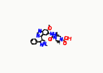 COc1cc2ncnc(-c3cn(C)nc3-c3ccccc3)c2cc1NC(=O)N1C[C@@H](C)N(C(=O)O)C[C@@H]1C